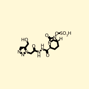 O=C(Cn1nncc1CO)NNC(=O)[C@@H]1CC[C@@H]2CN1C(=O)N2OS(=O)(=O)O